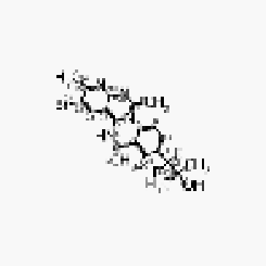 Cc1nc(N[C@H](C)c2cccc(C(F)(F)C(C)(C)O)c2F)c2cc(Br)c(C)nc2n1